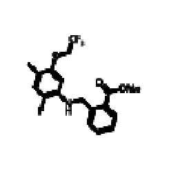 COC(=O)c1ccccc1CNc1cc(SCC(F)(F)F)c(C)cc1F